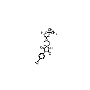 CC(C)(C)OC(=O)N1CCC2(CC1)NC(=O)N(c1ccc(C3CC3)cc1)C2=O